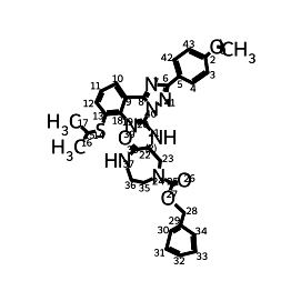 COc1ccc(-c2nc3c4cccc(SC(C)C)c4nc(N[C@@H]4CN(C(=O)OCc5ccccc5)CCNC4=O)n3n2)cc1